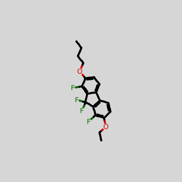 CCCCOc1ccc2c(c1F)C(F)(F)c1c-2ccc(OCC)c1F